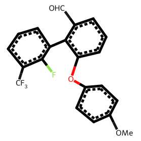 COc1ccc(Oc2cccc(C=O)c2-c2cccc(C(F)(F)F)c2F)cc1